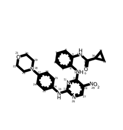 O=C(Nc1ccccc1Nc1nc(Nc2ccc(N3CCOCC3)cc2)ncc1[N+](=O)[O-])C1CC1